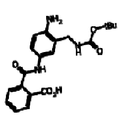 CC(C)(C)OC(=O)NCc1cc(NC(=O)c2ccccc2C(=O)O)ccc1N